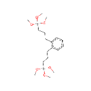 CO[Si](CCCc1ccccc1CCC[Si](OC)(OC)OC)(OC)OC